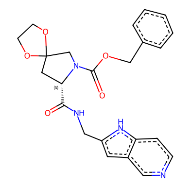 O=C(NCc1cc2cnccc2[nH]1)[C@@H]1CC2(CN1C(=O)OCc1ccccc1)OCCO2